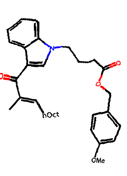 CCCCCCCCC=C(C)C(=O)c1cn(CCCC(=O)OCc2ccc(OC)cc2)c2ccccc12